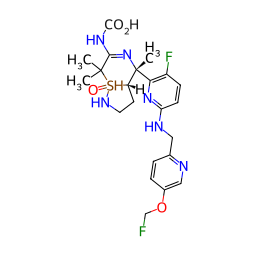 CC1(C)C(NC(=O)O)=N[C@](C)(c2nc(NCc3ccc(OCF)cn3)ccc2F)[C@@H]2CCN[SH]21=O